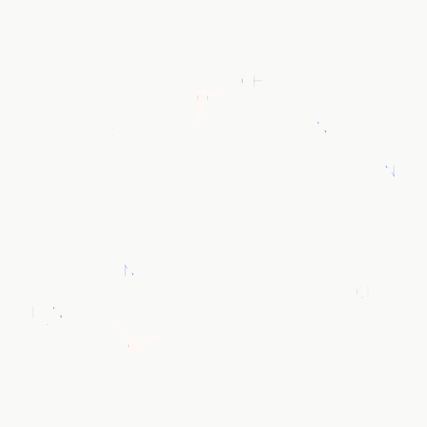 COc1ccc([C@]2(c3ccc(Cl)c(-c4cncnc4)c3)COC(N)=N2)cc1C